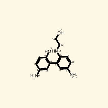 Nc1ccc(O)c(-c2cc(N)ccc2NCCO)c1